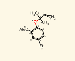 C=CC(C)(C)Oc1ccc(CC)cc1OC